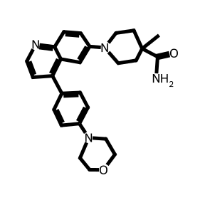 CC1(C(N)=O)CCN(c2ccc3nccc(-c4ccc(N5CCOCC5)cc4)c3c2)CC1